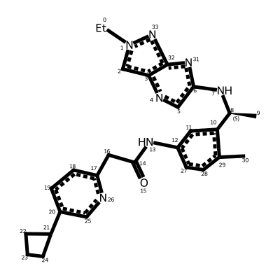 CCn1cc2ncc(N[C@@H](C)c3cc(NC(=O)Cc4ccc(C5CCC5)cn4)ccc3C)nc2n1